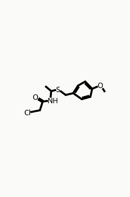 COc1ccc(CSC(C)NC(=O)CCl)cc1